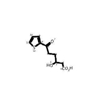 O=C(O)CC(O)CCC(=O)c1cccs1